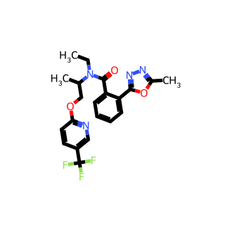 CCN(C(=O)c1ccccc1-c1nnc(C)o1)C(C)COc1ccc(C(F)(F)F)cn1